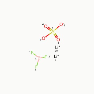 FB(F)F.O=S(=O)([O-])[O-].[Li+].[Li+]